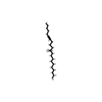 CCCCCC#CCCCC(=O)CCCCCCCCCC